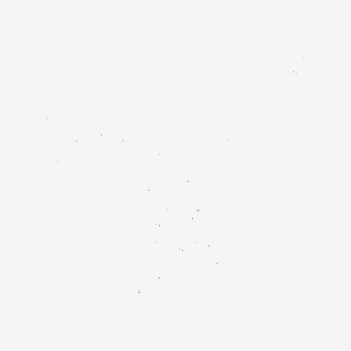 C=N/C=C\C=C/Cc1ccc(-c2cc(-c3ccc(-c4ccccc4)cc3)cc(-c3nc(-c4ccccc4)nc(-c4ccccc4)n3)c2)cc1